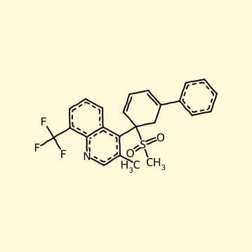 Cc1cnc2c(C(F)(F)F)cccc2c1C1(S(C)(=O)=O)C=CC=C(c2ccccc2)C1